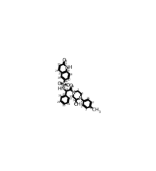 Cc1ccc(N2CCN(C(=O)C(NS(=O)(=O)c3ccc4[nH]c(=O)ccc4c3)c3ccccc3)CC2C)cc1